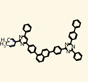 C/C=C\C(=C/C)c1nc(-c2ccccc2)cc(-c2ccc(-c3cccc4cc(-c5ccc(-c6nc(-c7ccccc7)nc(-c7ccc(-c8ccccc8)cc7)n6)cc5)ccc34)cc2)n1